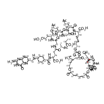 CC(=O)CC[C@H](NC(=O)CC[C@H](NC(=O)c1ccc(NCc2cnc3nc(N)[nH]c(=O)c3n2)cc1)C(=O)O)C(=O)N[C@@H](CCC(=O)O)C(=O)N[C@@H](CCC(C)=O)C(=O)N[C@@H](CCC(=O)O)C(=O)N[C@@H](CCC(C)=O)C(=O)N[C@@H](CSSCCOC(=O)O[C@@H]1C(=O)OC[C@]23CCC(C)=C[C@H]2O[C@@H]2C[C@@H](OC(=O)/C=C\C=C\C(=O)OCC[C@H]1C)[C@@]3(C)[C@]21CO1)C(=O)O